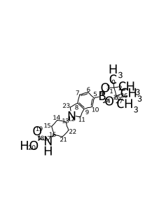 CC1(C)OB(c2ccc3c(c2)CN([C@H]2CC[C@H](NC(=O)O)CC2)C3)OC1(C)C